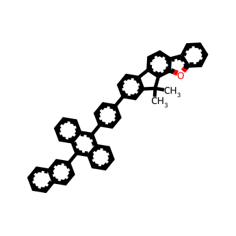 CC1(C)c2cc(-c3ccc(-c4c5ccccc5c(-c5ccc6ccccc6c5)c5ccccc45)cc3)ccc2-c2ccc3c(oc4ccccc43)c21